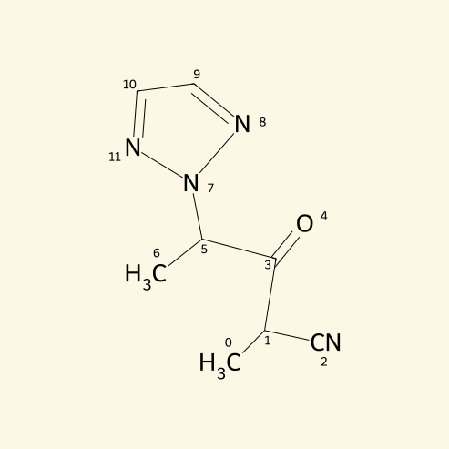 CC(C#N)C(=O)C(C)n1nccn1